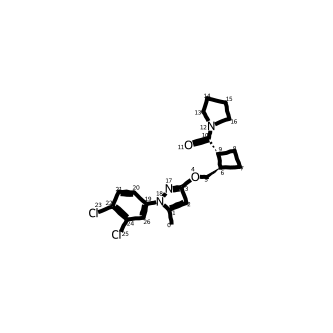 Cc1cc(OC[C@@H]2CC[C@H]2C(=O)N2CCCC2)nn1-c1ccc(Cl)c(Cl)c1